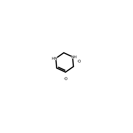 C1=CNCNC1.[O].[O]